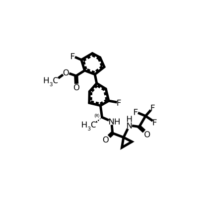 COC(=O)c1c(F)cccc1-c1ccc([C@@H](C)NC(=O)C2(NC(=O)C(F)(F)F)CC2)c(F)c1